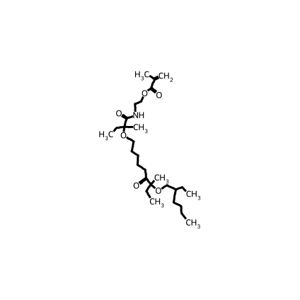 C=C(C)C(=O)OCCNC(=O)C(C)(CC)OCCCCCC(=O)C(C)(CC)OCC(CC)CCCC